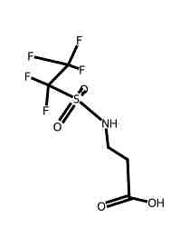 O=C(O)CCNS(=O)(=O)C(F)(F)C(F)(F)F